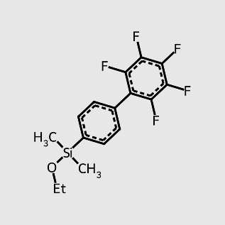 CCO[Si](C)(C)c1ccc(-c2c(F)c(F)c(F)c(F)c2F)cc1